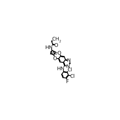 C=CC(=O)NC1CC(Oc2cc3c(Nc4ccc(F)c(Cl)c4Cl)ncnc3cc2OC)C1